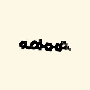 Cc1ccc(-c2ccc(-c3nc4c([nH]3)C=CN(Cc3nnco3)C4)cc2)cc1C